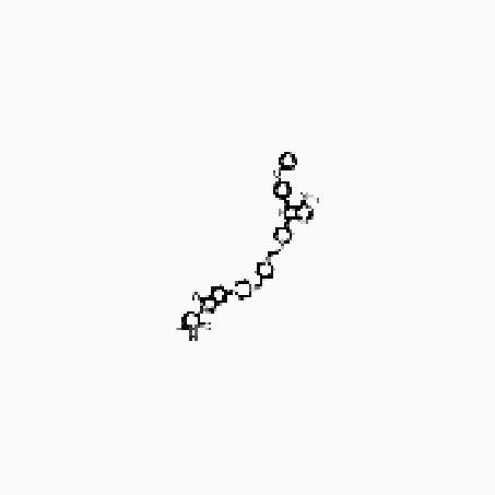 Nc1ncnc2c1C(c1ccc(Oc3ccccc3)cc1)=NC2C1CCN(CCN2CCC(CN3CCN(c4ccc5c(c4)CN(C4CCC(=O)NC4=O)C5=O)CC3)CC2)CC1